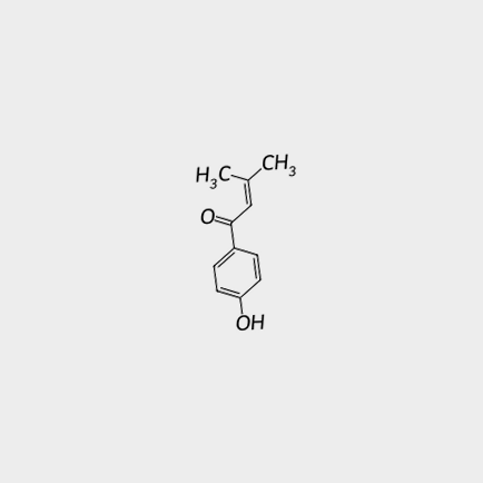 CC(C)=CC(=O)c1ccc(O)cc1